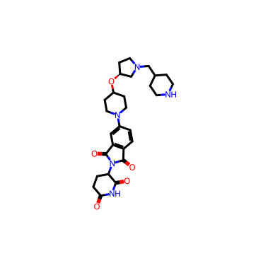 O=C1CCC(N2C(=O)c3ccc(N4CCC(O[C@H]5CCN(CC6CCNCC6)C5)CC4)cc3C2=O)C(=O)N1